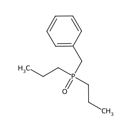 CCCP(=O)(CCC)Cc1ccccc1